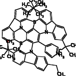 CCc1ccc2c3ccc(C(C)(C)C)c4c3n(c2c1)-c1c2c3c5c(c1-c1ccncc1)-n1c6cc(C(C)(C)C)ccc6c6ccc(C(C)(C)C)c(c61)B5c1c(C(C)(C)C)ccc5c6ccc(C(C)(C)C)c(c6n-3c15)B24